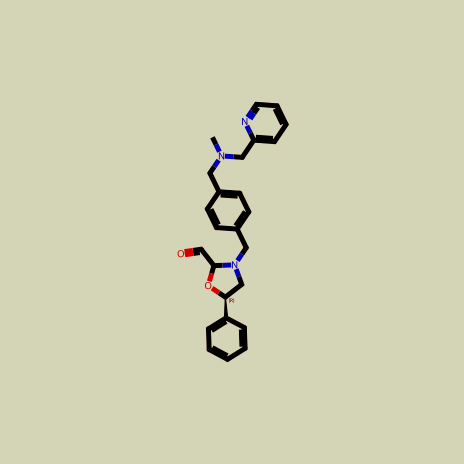 CN(Cc1ccc(CN2C[C@@H](c3ccccc3)OC2C=O)cc1)Cc1ccccn1